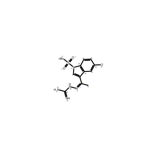 CCCCS(=O)(=O)n1cc(/C(C)=N\NC(=N)N)c2cc(Cl)ccc21